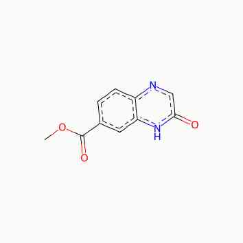 COC(=O)c1ccc2ncc(=O)[nH]c2c1